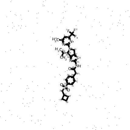 Cc1cc(C(F)(F)F)nc(N2Cc3sc(NC(=O)Cc4ccc(S(=O)(=O)CC5CCC5)cc4)nc3[C@H]2C(C)C)n1